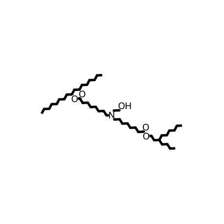 CCCCCCCCC(CCCCCCCC)OC(=O)CCCCCCCN(CCO)CCCCCCCC(=O)OCCC(CCCC)CCCCCC